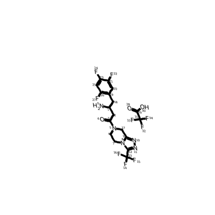 NC(CC(=O)N1CCn2c(nnc2C(F)(F)F)C1)Cc1cc(F)c(F)cc1F.O=C(O)C(F)(F)F